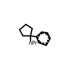 CC[CH]C1(c2ccccc2)CCCC1